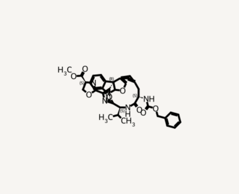 COC(=O)[C@@H]1COC(c2nc3oc2[C@@]24c5ccccc5NC2Oc2ccc(cc24)C[C@H](NC(=O)OCc2ccccc2)C(=O)N[C@H]3C(C)C)=N1